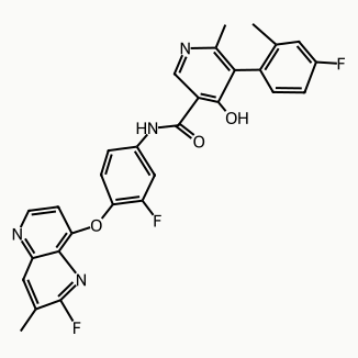 Cc1cc(F)ccc1-c1c(C)ncc(C(=O)Nc2ccc(Oc3ccnc4cc(C)c(F)nc34)c(F)c2)c1O